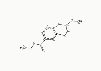 CCOC(=O)c1ccc2c(c1)CCC(CO)C2